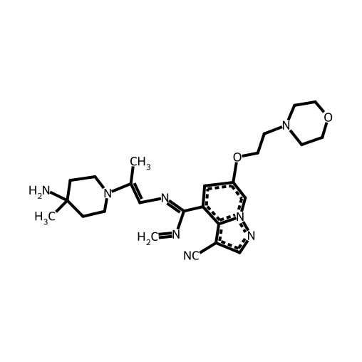 C=N/C(=N\C=C(/C)N1CCC(C)(N)CC1)c1cc(OCCN2CCOCC2)cn2ncc(C#N)c12